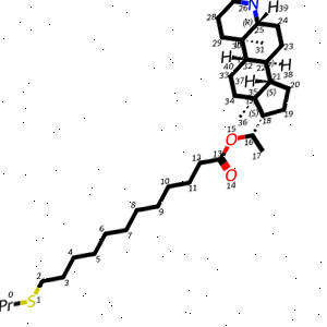 CC(C)SCCCCCCCCCCCC(=O)OC(C)[C@H]1CC[C@H]2[C@@H]3CC[C@H]4NCCC[C@]4(C)[C@H]3CC[C@]12C